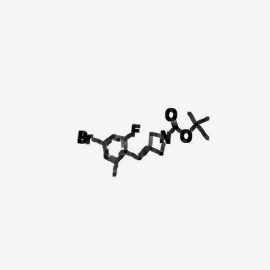 Cc1cc(Br)cc(F)c1C=C1CN(C(=O)OC(C)(C)C)C1